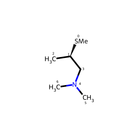 CS[C@H](C)CN(C)C